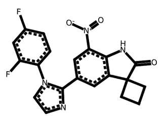 O=C1Nc2c([N+](=O)[O-])cc(-c3nccn3-c3ccc(F)cc3F)cc2C12CCC2